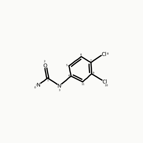 [N]C(=O)[N]c1ccc(Cl)c(Cl)c1